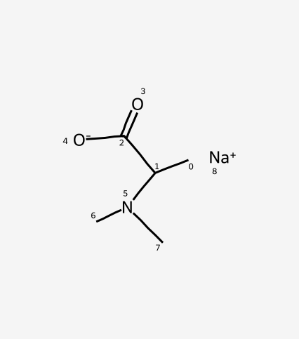 CC(C(=O)[O-])N(C)C.[Na+]